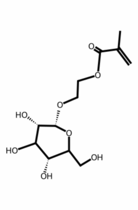 C=C(C)C(=O)OCCO[C@@H]1OC(CO)[C@H](O)C(O)[C@@H]1O